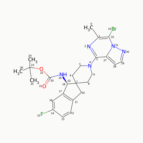 Cc1nc(N2CCC3(CC2)Cc2ccc(F)cc2[C@H]3NC(=O)OC(C)(C)C)c2ccnn2c1Br